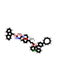 C=C(CCC(=O)OC(c1ccccc1)(c1ccc(C2CCCCCCCC2)cc1)c1ccccc1Cl)c1ccc(C[C@H](NC(=O)OCC2c3ccccc3-c3ccccc32)C(=O)N2CCCCC2)cc1